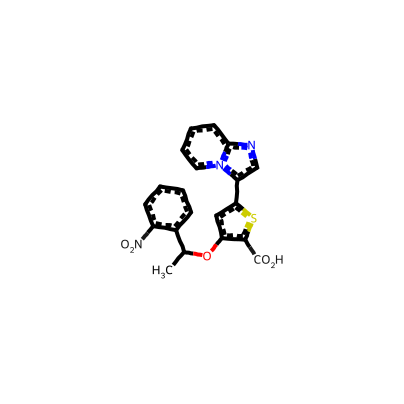 CC(Oc1cc(-c2cnc3ccccn23)sc1C(=O)O)c1ccccc1[N+](=O)[O-]